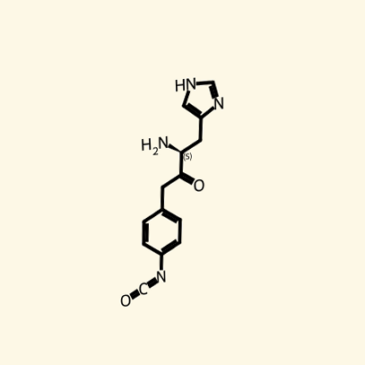 N[C@@H](Cc1c[nH]cn1)C(=O)Cc1ccc(N=C=O)cc1